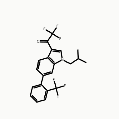 CC(C)Cn1cc(C(=O)C(F)(F)F)c2ccc(-c3ccccc3C(F)(F)F)cc21